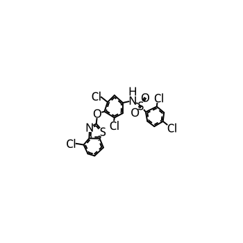 O=S(=O)(Nc1cc(Cl)c(Oc2nc3c(Cl)cccc3s2)c(Cl)c1)c1ccc(Cl)cc1Cl